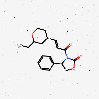 O=C(/C=C/C1CCOC(CC(F)(F)F)C1)N1C(=O)OC[C@H]1c1ccccc1